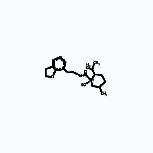 CC1CCC(C(C)C)[C@@](O)(C(=O)NCCc2cccc3c2OCC3)C1